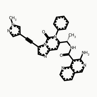 C[C@H](NC(=O)c1c(N)ncc2cccnc12)c1cc2ncc(C#Cc3cnn(C)c3)n2c(=O)n1-c1ccccc1